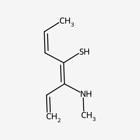 C=C/C(NC)=C(S)\C=C/C